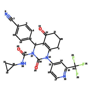 N#Cc1ccc(C2C3=C(CCCC3=O)N(c3ccnc(C(F)(F)F)c3)C(=O)N2C(=O)NC2CC2)cc1